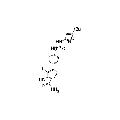 CC(C)(C)c1cc(NC(=O)Nc2ccc(-c3ccc4c(N)n[nH]c4c3F)cc2)no1